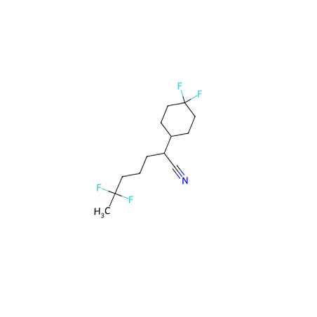 CC(F)(F)CCCC(C#N)C1CCC(F)(F)CC1